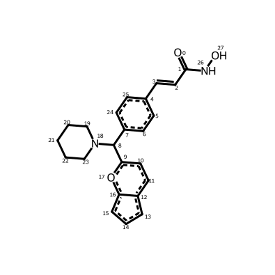 O=C(C=Cc1ccc(C(c2ccc3cccc-3o2)N2CCCCC2)cc1)NO